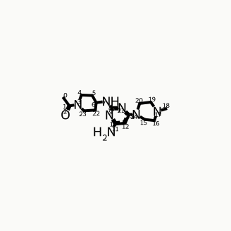 CC(=O)N1CCC(Nc2nc(N)cc(N3CCN(C)CC3)n2)CC1